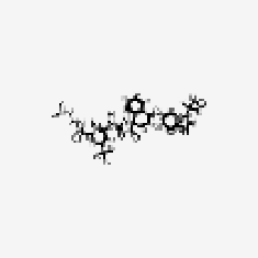 CN(C)CCNC(=O)c1nc(NC(=O)N[C@@]2(C=O)C=C[C@@H](Oc3ccc4nnc(C5(C)COC5)n4c3)c3ccccc32)cc(C(C)(C)C)n1